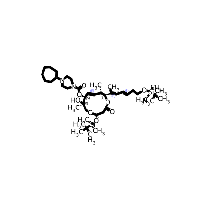 C/C(=C\C=C\CCO[Si](C)(C)C(C)(C)C)[C@H]1OC(=O)C[C@H](O[Si](C)(C)C(C)(C)C)CC[C@@](C)(O)[C@@H](OC(=O)N2CCN(C3CCCCCC3)CC2)/C=C/[C@@H]1C